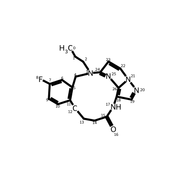 CCCN1Cc2cc(F)ccc2CCCC(=O)Nc2cnn3ccc1nc23